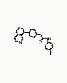 O=C(Cc1ccc(-c2cccc3ccncc23)cc1)Nc1ccc(F)cc1